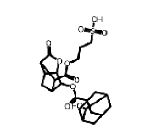 O=C1OC2C3CC(C2OC(=O)C24CC5CC(C2)C(O)C(C5)C4)C(C(=O)OCCCS(=O)(=O)O)C13